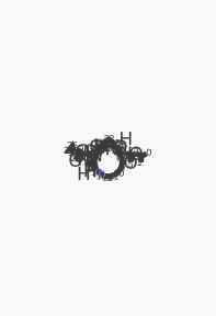 CC(C)OC(=O)N[C@H]1CCCCC/C=C\[C@@H]2C[C@@]2(C(=O)NS(=O)(=O)C2CC2)NC(=O)[C@@H]2CCCN2C1=O